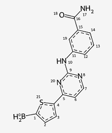 Bc1ccc(-c2ccnc(Nc3cccc(C(N)=O)c3)n2)s1